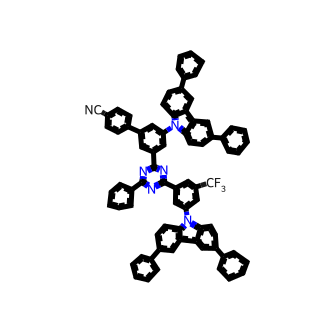 N#Cc1ccc(-c2cc(-c3nc(-c4ccccc4)nc(-c4cc(-n5c6ccc(-c7ccccc7)cc6c6cc(-c7ccccc7)ccc65)cc(C(F)(F)F)c4)n3)cc(-n3c4ccc(-c5ccccc5)cc4c4cc(-c5ccccc5)ccc43)c2)cc1